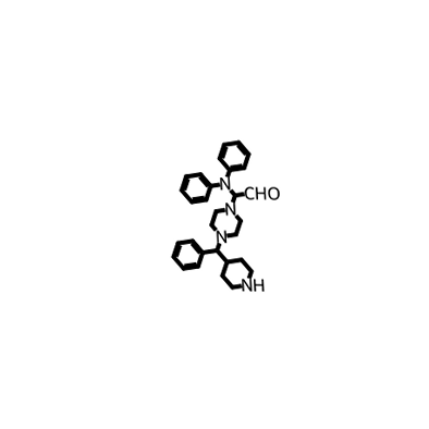 O=CC(N1CCN(C(c2ccccc2)C2CCNCC2)CC1)N(c1ccccc1)c1ccccc1